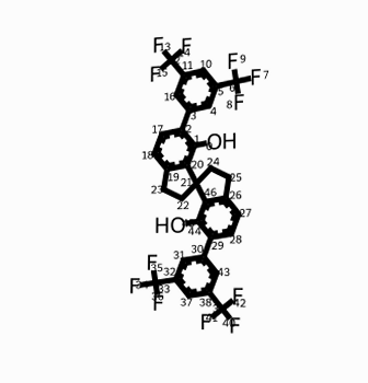 Oc1c(-c2cc(C(F)(F)F)cc(C(F)(F)F)c2)ccc2c1C1(CC2)CCc2ccc(-c3cc(C(F)(F)F)cc(C(F)(F)F)c3)c(O)c21